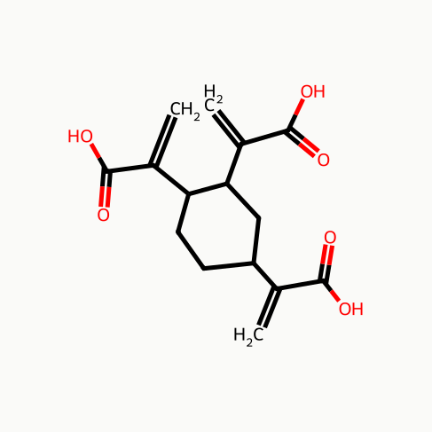 C=C(C(=O)O)C1CCC(C(=C)C(=O)O)C(C(=C)C(=O)O)C1